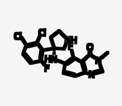 Cn1cnc2ccc(N[C@]3(c4c(F)ccc(Cl)c4Cl)CCNC3)c(F)c2c1=O